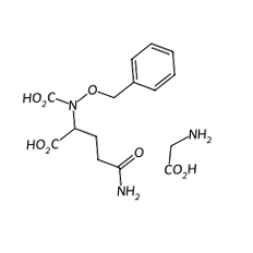 NC(=O)CCC(C(=O)O)N(OCc1ccccc1)C(=O)O.NCC(=O)O